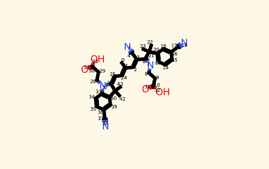 CC(/C=C(\C#N)C1=[N+](CCC(=O)O)c2ccc(C#N)cc2C1(C)C)=C\C=C1\N(CCC(=O)O)c2ccc(C#N)cc2C1(C)C